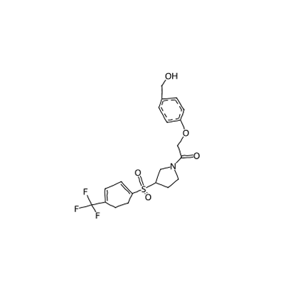 O=C(COc1ccc(CO)cc1)N1CCC(S(=O)(=O)C2=CC=C(C(F)(F)F)CC2)C1